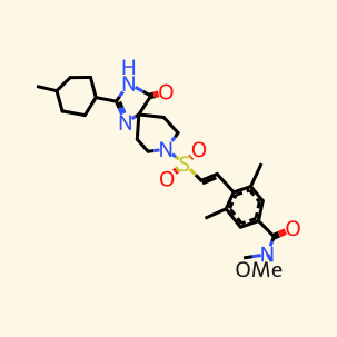 CON(C)C(=O)c1cc(C)c(/C=C/S(=O)(=O)N2CCC3(CC2)N=C(C2CCC(C)CC2)NC3=O)c(C)c1